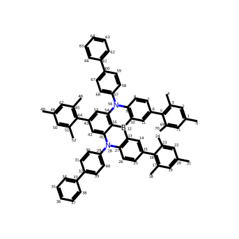 Cc1cc(C)c(-c2ccc3c(c2)B2c4cc(-c5c(C)cc(C)cc5C)ccc4N(c4ccc(-c5ccccc5)cc4)c4cc(-c5c(C)cc(C)cc5C)cc(c42)N3c2ccc(-c3ccccc3)cc2)c(C)c1